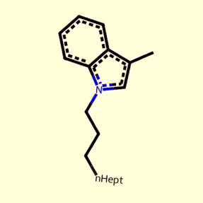 CCCCCCCCCCn1cc(C)c2ccccc21